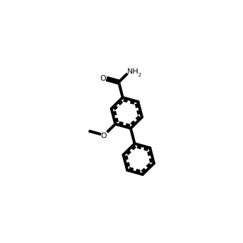 COc1cc(C(N)=O)ccc1-c1ccccc1